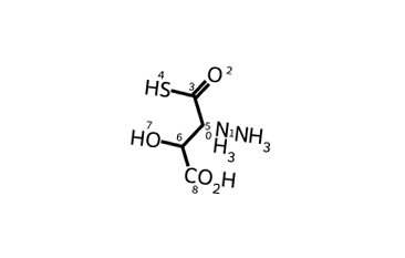 N.N.O=C(S)CC(O)C(=O)O